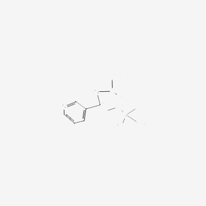 CC(C)(C)[S+]([O-])N[C@H](CO[Si](C)(C)C(C)(C)C)c1cccnc1